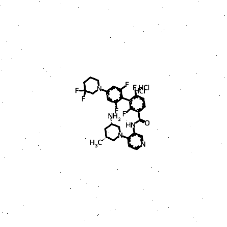 C[C@@H]1C[C@H](N)CN(c2ccncc2NC(=O)c2ccc(F)c(-c3c(F)cc(N4CCCC(F)(F)C4)cc3F)c2F)C1.Cl.Cl